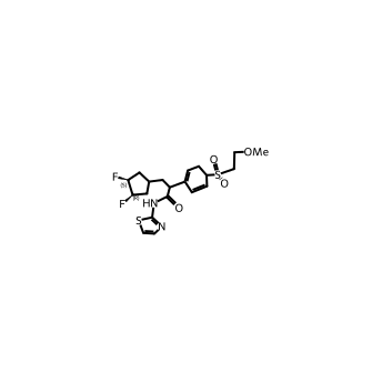 COCCS(=O)(=O)C1C=CC(C(CC2C[C@@H](F)[C@@H](F)C2)C(=O)Nc2nccs2)=CC1